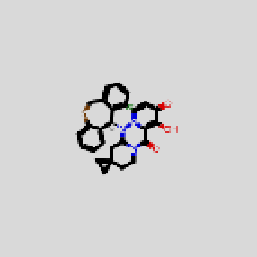 O=C1c2c(O)c(=O)ccn2N([C@@H]2c3ccccc3SCc3cccc(F)c32)C2CC3(CCN12)CC3